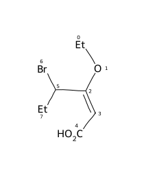 CCOC(=CC(=O)O)C(Br)CC